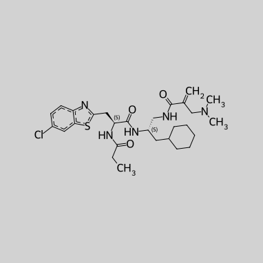 C=C(CN(C)C)C(=O)NC[C@H](CC1CCCCC1)NC(=O)[C@H](Cc1nc2ccc(Cl)cc2s1)NC(=O)CC